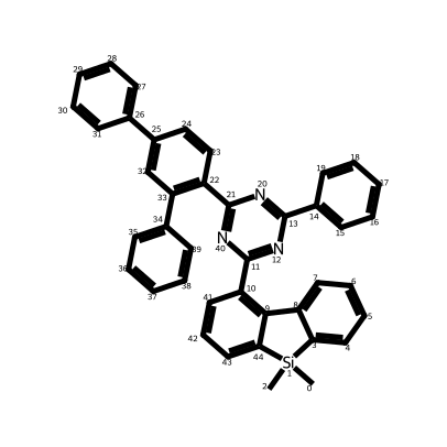 C[Si]1(C)c2ccccc2-c2c(-c3nc(-c4ccccc4)nc(-c4ccc(-c5ccccc5)cc4-c4ccccc4)n3)cccc21